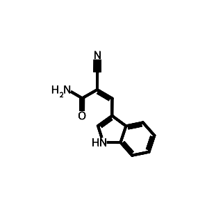 N#C/C(=C/c1c[nH]c2ccccc12)C(N)=O